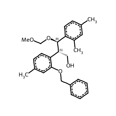 COCO[C@@H](c1ccc(C)cc1C)[C@H](CO)c1ccc(C)cc1OCc1ccccc1